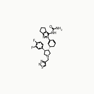 NC(=O)Nc1c2c(nn1C1=CC([C@@H]3CN(Cc4csnn4)C[C@H]3c3ccc(F)c(F)c3)CC=C1)CCC2